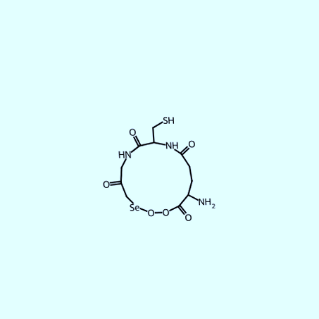 NC1CCC(=O)NC(CS)C(=O)NCC(=O)C[Se]OOC1=O